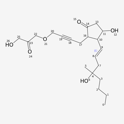 CCCCC(C)(O)C/C=C/C1C(O)CC(=O)C1CC#CCOCC(=O)CO